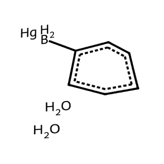 Bc1ccccc1.O.O.[Hg]